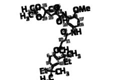 CCC(C)(C)c1ccc(OCCCC(=O)Nc2ccc(OC)c(NC(=O)C(=O)CC3(C)COC(C)(C)OC3)c2)c(C(C)(C)CC)c1